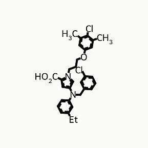 CCc1cccc(N(Cc2cccc(Cl)c2)c2cc(C(=O)O)n(CCCOc3cc(C)c(Cl)c(C)c3)c2)c1